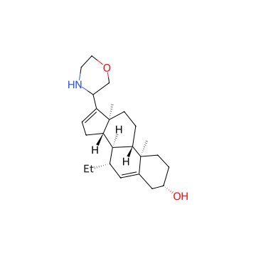 CC[C@H]1C=C2C[C@@H](O)CC[C@]2(C)[C@H]2CC[C@]3(C)C(C4COCCN4)=CC[C@H]3[C@H]12